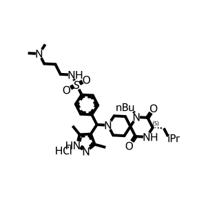 CCCCN1C(=O)[C@H](CC(C)C)NC(=O)C12CCN(C(c1ccc(S(=O)(=O)NCCCN(C)C)cc1)c1c(C)n[nH]c1C)CC2.Cl